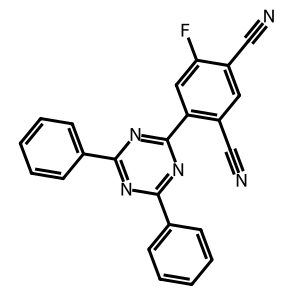 N#Cc1cc(C#N)c(-c2nc(-c3ccccc3)nc(-c3ccccc3)n2)cc1F